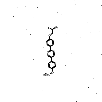 CCCCCCCCCCOc1ccc(-c2cnc(-c3ccc(OCC(F)C(C)C)cc3)nc2)cc1